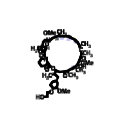 CO[C@H]1C[C@@H]2CC[C@@H](C)[C@@](O)(O2)C(=O)C(=O)N2CCCC[C@H]2C(=O)OC([C@H](C)C[C@@H]2CC[C@@H](OCCO)[C@H](OC)C2)CC(=O)[C@H](C)/C=C(\C)[C@@H](O)[C@@H](OC)C(=O)[C@H](C)C[C@@H](C)\C=C/C=C/C=C/1C